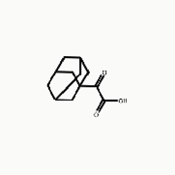 O=C(O)C(=O)C12CC3CC(CC(C3)C1)C2